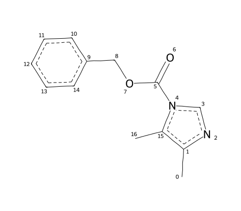 Cc1ncn(C(=O)OCc2ccccc2)c1C